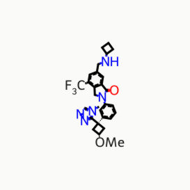 CO[C@H]1C[C@](c2cccc(N3Cc4c(cc(CNC5CCC5)cc4C(F)(F)F)C3=O)c2)(c2nncn2C)C1